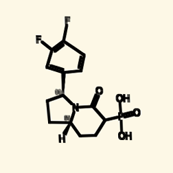 O=C1C(P(=O)(O)O)CC[C@@H]2CC[C@@H](c3ccc(F)c(F)c3)N12